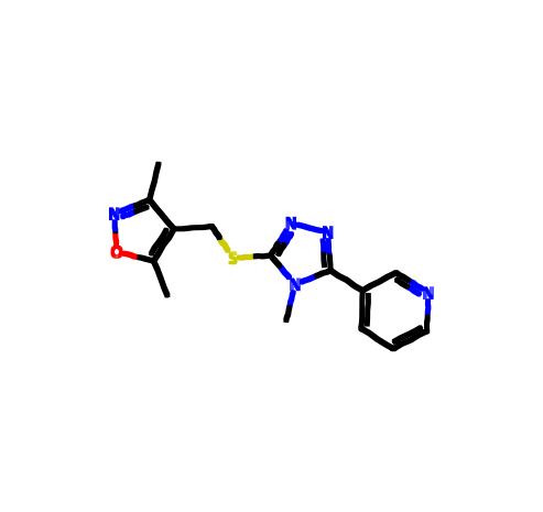 Cc1noc(C)c1CSc1nnc(-c2cccnc2)n1C